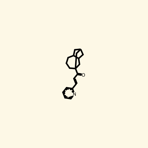 O=C(/C=C/c1ccccn1)C12CCCC3CC(CC3C1)C2